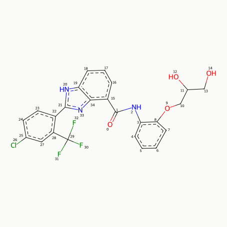 O=C(Nc1ccccc1OCC(O)CO)c1cccc2[nH]c(-c3ccc(Cl)cc3C(F)(F)F)nc12